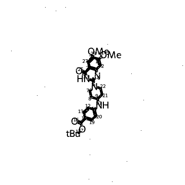 COc1cc2nc(N3CCC(Nc4ccc(C(=O)OC(C)(C)C)cc4)CC3)[nH]c(=O)c2cc1OC